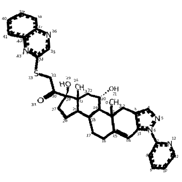 CC12Cc3cnn(-c4ccccn4)c3C=C1CCC1C2[C@@H](O)CC2(C)C1CC[C@]2(O)C(=O)CSc1cnc2ccccc2n1